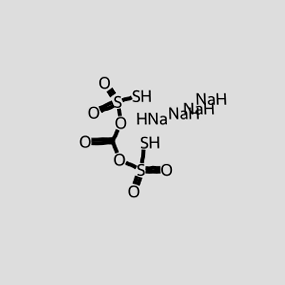 O=C(OS(=O)(=O)S)OS(=O)(=O)S.[NaH].[NaH].[NaH].[NaH]